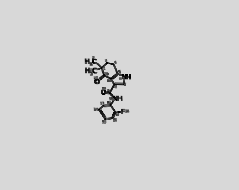 CC1(C)CCc2[nH]cc(C(=O)Nc3ccccc3F)c2C1=O